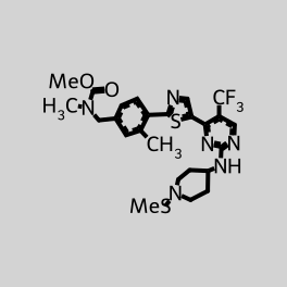 COC(=O)N(C)Cc1ccc(-c2ncc(-c3nc(NC4CCN(SC)CC4)ncc3C(F)(F)F)s2)c(C)c1